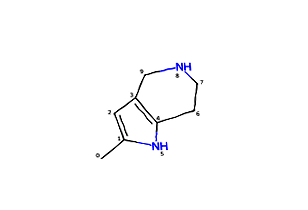 Cc1cc2c([nH]1)CCNC2